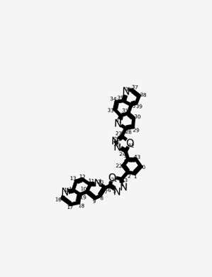 c1cc(-c2nnc(-c3ccc4c(ccc5ncccc54)n3)o2)cc(-c2nnc(-c3ccc4c(ccc5ncccc54)n3)o2)c1